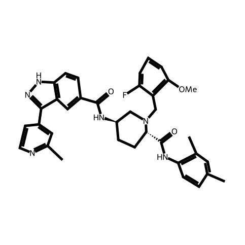 COc1cccc(F)c1CN1C[C@H](NC(=O)c2ccc3[nH]nc(-c4ccnc(C)c4)c3c2)CC[C@H]1C(=O)Nc1ccc(C)cc1C